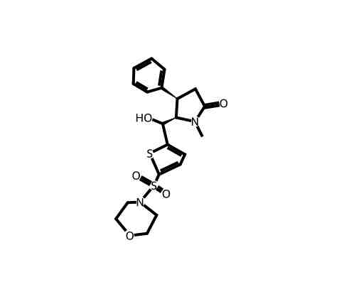 CN1C(=O)C[C@H](c2ccccc2)[C@@H]1C(O)c1ccc(S(=O)(=O)N2CCOCC2)s1